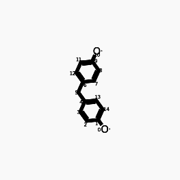 [O]c1ccc(Cc2ccc([O])cc2)cc1